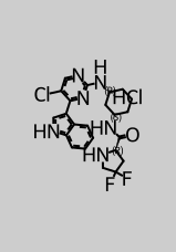 Cl.O=C(N[C@H]1CCC[C@@H](Nc2ncc(Cl)c(-c3c[nH]c4ccccc34)n2)C1)[C@H]1CC(F)(F)CN1